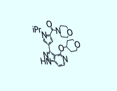 CC(C)n1cc(-c2n[nH]c3ccnc(OC4CCOCC4)c23)cc1C(=O)N1CCOCC1